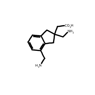 NCc1cccc2c1CC(CN)(CC(=O)O)C2